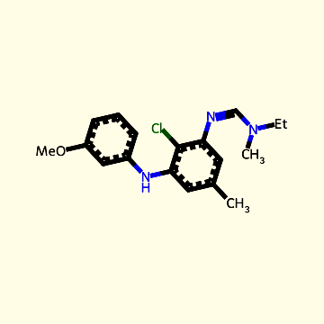 CCN(C)/C=N\c1cc(C)cc(Nc2cccc(OC)c2)c1Cl